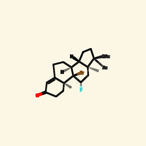 CC(=O)O[C@]1(C(C)=O)CC[C@H]2[C@@H]3CCC4=CC(=O)CC[C@]4(C)[C@@]3(Br)[C@@H](F)C[C@@]21C